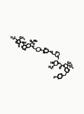 Cc1n[nH]c(Nc2ncnc3cc(OCC4CCN(c5ncc(OCC6CN(C[C@H]7CN[C@H](C)CN7CC(=O)N7CC(C)(C)c8ncc(Cc9ccc(F)cc9)cc87)CCO6)cn5)CC4)c(S(=O)(=O)C(C)(C)C)cc23)c1C